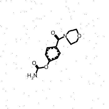 NC(=O)Oc1ccc(C(=O)N2CCOCC2)cc1